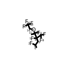 CC(F)CC(F)(C(F)(F)F)C(C)(C)OCC(F)(F)F